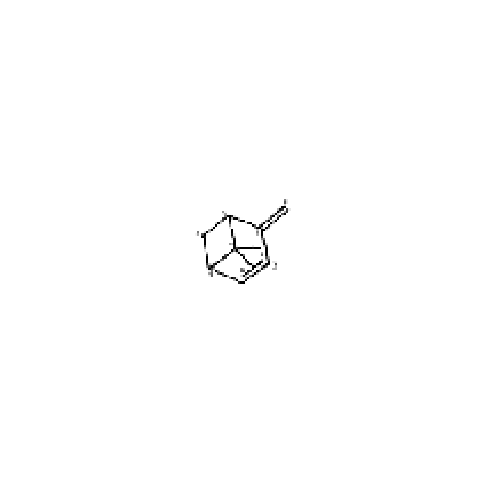 C=C1C=CC2CC1C2(C)C